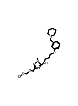 CCOCOCc1nc(NCCCOc2cccc(CN3CCCCC3)c2)n(C)n1